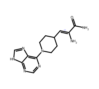 NC(=O)/C(N)=C/C1CCN(c2ncnc3[nH]cnc23)CC1